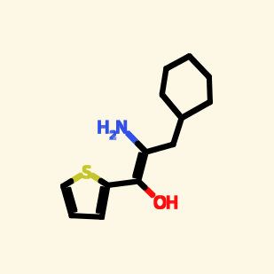 NC(CC1CCCCC1)=C(O)c1cccs1